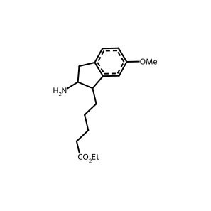 CCOC(=O)CCCCC1c2cc(OC)ccc2CC1N